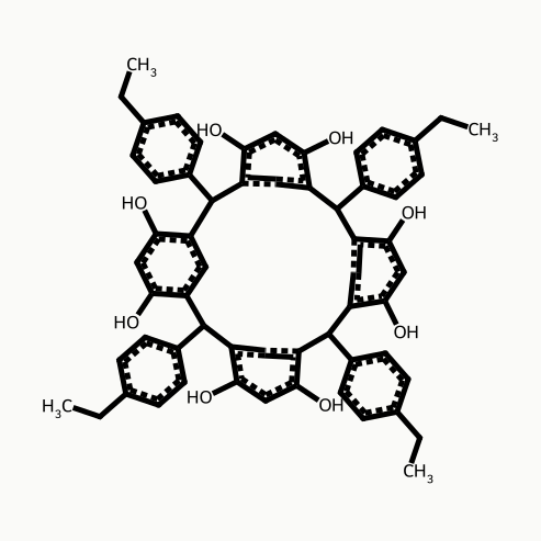 CCc1ccc(C2c3cc(c(O)cc3O)C(c3ccc(CC)cc3)c3cc(c(O)cc3O)C(c3ccc(CC)cc3)c3cc(c(O)cc3O)C(c3ccc(CC)cc3)c3cc2c(O)cc3O)cc1